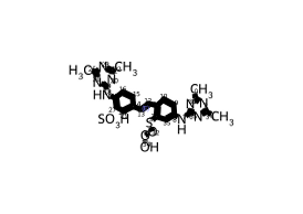 Cc1nc(C)nc(Nc2ccc(/C=C/c3ccc(Nc4nc(C)nc(C)n4)cc3S(=O)(=O)O)c(SOOO)c2)n1